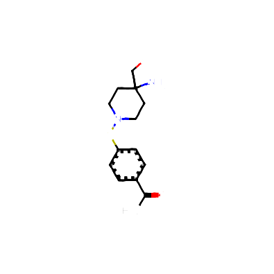 CC(=O)c1ccc(SN2CCC(N)(CO)CC2)cc1